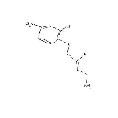 NC/C=C(\F)COc1ccc([N+](=O)[O-])cc1Cl